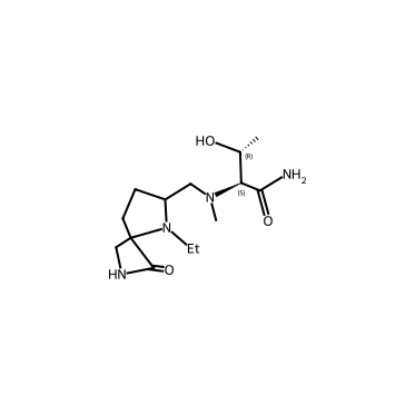 CCN1C(CN(C)[C@H](C(N)=O)[C@@H](C)O)CCC12CNC2=O